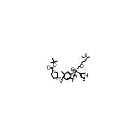 Cc1cc(S(=O)(=O)N(COCCS(C)(C)C)c2cnsc2)c(F)cc1N(C)[C@H]1CCN(C(=O)OC(C)(C)C)C1